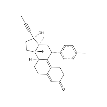 CC#C[C@]1(O)CC[C@H]2[C@@H]3CCC4=CC(=O)CCC4=C3[C@@H](c3ccc(C)cc3)C[C@@]21C